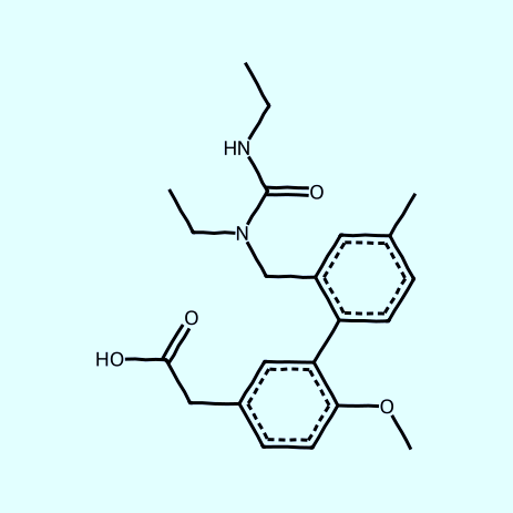 CCNC(=O)N(CC)Cc1cc(C)ccc1-c1cc(CC(=O)O)ccc1OC